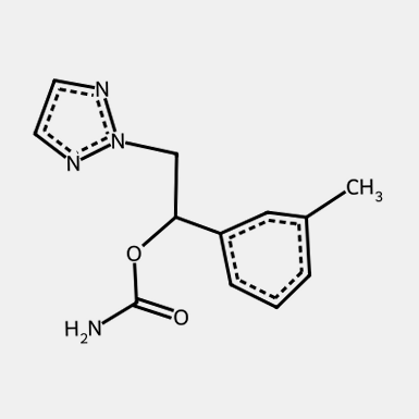 Cc1cccc(C(Cn2nccn2)OC(N)=O)c1